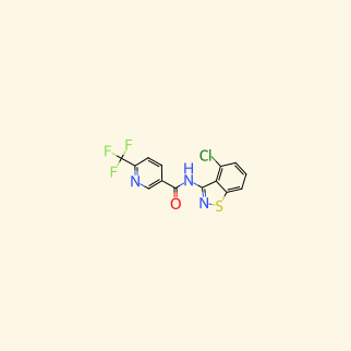 O=C(Nc1nsc2cccc(Cl)c12)c1ccc(C(F)(F)F)nc1